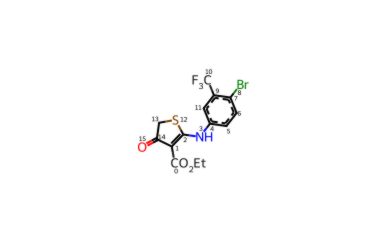 CCOC(=O)C1=C(Nc2ccc(Br)c(C(F)(F)F)c2)SCC1=O